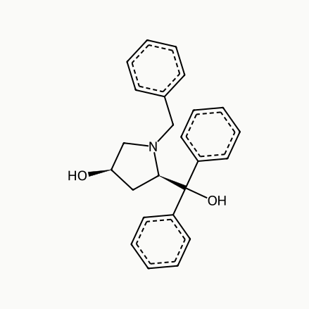 O[C@@H]1C[C@H](C(O)(c2ccccc2)c2ccccc2)N(Cc2ccccc2)C1